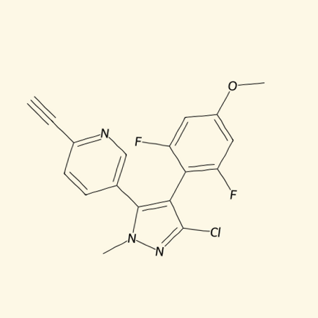 C#Cc1ccc(-c2c(-c3c(F)cc(OC)cc3F)c(Cl)nn2C)cn1